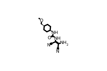 COC[C@H]1CC[C@@H](NC(=O)N/C(C#N)=C(\N)C#N)CC1